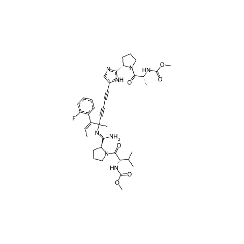 C/C=C(/c1ccccc1F)C(C)(C#CC#Cc1cnc([C@@H]2CCCN2C(=O)[C@@H](C)NC(=O)OC)[nH]1)/N=C(\N)[C@@H]1CCCN1C(=O)[C@@H](NC(=O)OC)C(C)C